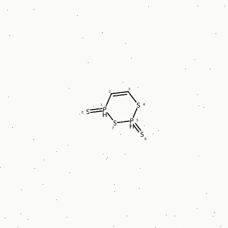 S=[PH]1C=CS[PH](=S)S1